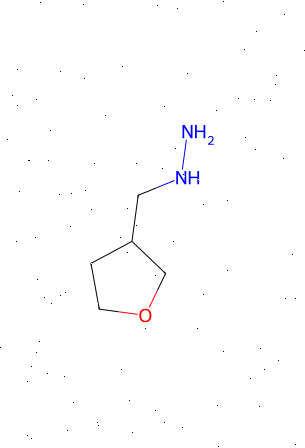 NNCC1CCOC1